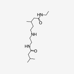 CCNC(=O)CC(C)CCNCCNC(=O)CC(C)C